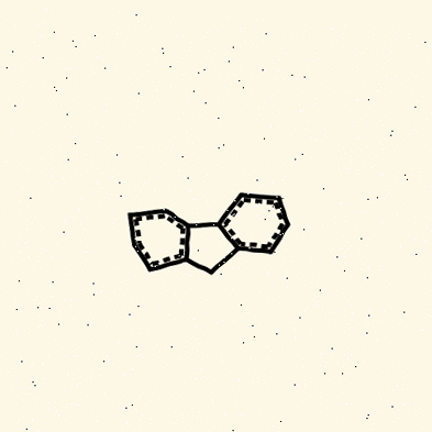 [c]1c[c]c2c(c1)-c1ccccc1C2